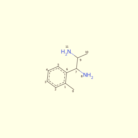 Cc1ccccc1C(N)C(C)N